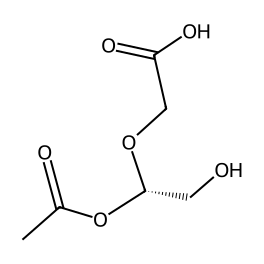 CC(=O)O[C@@H](CO)OCC(=O)O